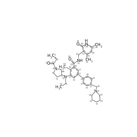 C=CC(=O)N1CCC(N(CC)c2cc(-c3ccc(CN4CCCCC4)cc3)cc(C(=O)NCc3c(C)cc(C)[nH]c3=O)c2C)C1